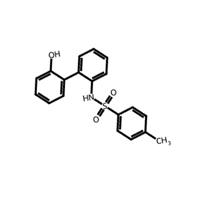 Cc1ccc(S(=O)(=O)Nc2ccccc2-c2ccccc2O)cc1